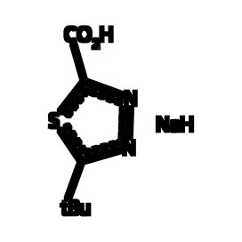 CC(C)(C)c1nnc(C(=O)O)s1.[NaH]